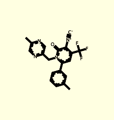 [C-]#[N+]c1c(C(F)(F)F)cc(-c2cccc(C)c2)n(Cc2cnc(C)cn2)c1=O